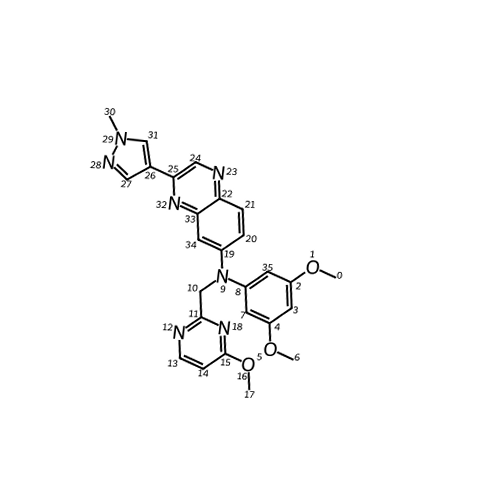 COc1cc(OC)cc(N(Cc2nccc(OC)n2)c2ccc3ncc(-c4cnn(C)c4)nc3c2)c1